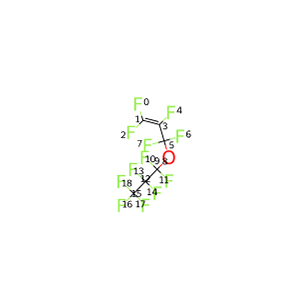 FC(F)=C(F)C(F)(F)OC(F)(F)C(F)(F)C(F)(F)F